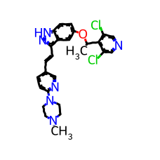 CC(Oc1ccc2[nH]nc(/C=C/c3ccc(N4CCN(C)CC4)nc3)c2c1)c1c(Cl)cncc1Cl